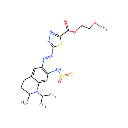 COCCOC(=O)c1nnc(N=Nc2cc3c(cc2N[SH](=O)=O)N(C(C)C)C(C)CC3)s1